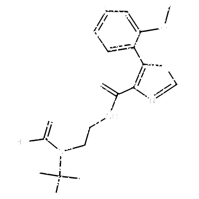 COc1ccccc1-c1scnc1C(=O)NCCN(C(=O)O)C(C)(C)C